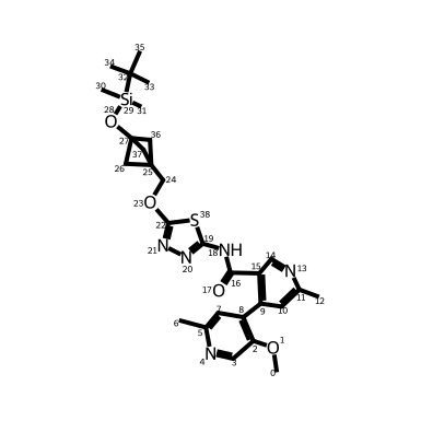 COc1cnc(C)cc1-c1cc(C)ncc1C(=O)Nc1nnc(OCC23CC(O[Si](C)(C)C(C)(C)C)(C2)C3)s1